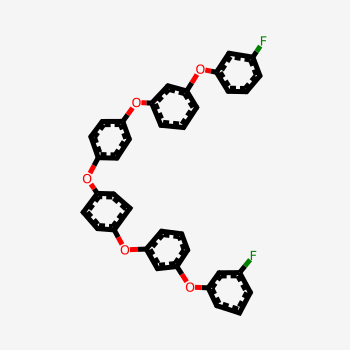 Fc1cccc(Oc2cccc(Oc3ccc(Oc4ccc(Oc5cccc(Oc6cccc(F)c6)c5)cc4)cc3)c2)c1